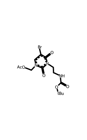 CC(=O)OCn1cc(Br)c(=O)n(CCNC(=O)OC(C)(C)C)c1=O